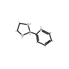 c1ccc(B2OCCO2)nc1